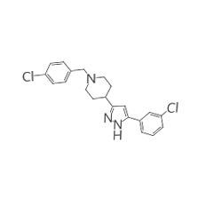 Clc1ccc(CN2CCC(c3cc(-c4cccc(Cl)c4)[nH]n3)CC2)cc1